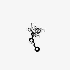 NC(=O)c1cc(-c2ccnc(/C=C/c3ccccc3)c2)[nH]c1N1CCNCC1